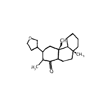 CC1C(=O)C2CC[C@@]3(C)CCCCC3[C@@]2(C)CC1C1CCOC1